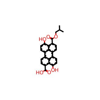 CC(C)COC(=O)c1ccc2c3ccc(O)c4c(C(=O)O)ccc(c5ccc(O)c1c52)c43